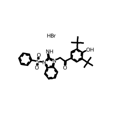 Br.CC(C)(C)c1cc(C(=O)Cn2c(=N)n(S(=O)(=O)c3ccccc3)c3ccccc32)cc(C(C)(C)C)c1O